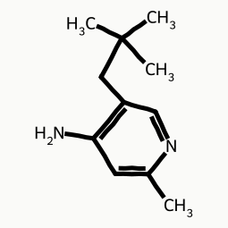 Cc1cc(N)c(CC(C)(C)C)cn1